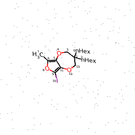 CCCCCCC1(CCCCCC)COc2c(C)oc(I)c2OC1